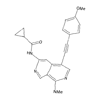 CNc1ncc(C#Cc2ccc(OC)cc2)c2cc(NC(=O)C3CC3)ncc12